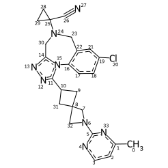 Cc1ccnc(N2CC3(CC(c4nnc5n4-c4ccc(Cl)cc4CN(C4(C#N)CC4)C5)C3)C2)n1